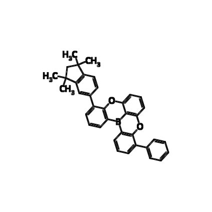 CC1(C)CC(C)(C)c2cc(-c3cccc4c3Oc3cccc5c3B4c3cccc(-c4ccccc4)c3O5)ccc21